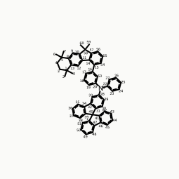 CC1(C)CCC(C)(C)c2cc3c(cc21)-c1c(-c2cccc(N(c4ccccc4)c4ccc5c(c4)-c4ccccc4C54c5ccccc5-c5ccccc54)c2)cccc1C3(C)C